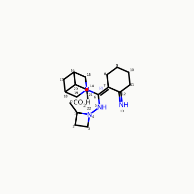 CC1CCN1N/C(=C1/CCCCC1=N)N1CC2CC(C1)C2CC(=O)O